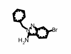 Nc1c2ccc(Br)cc2nn1Cc1ccccc1